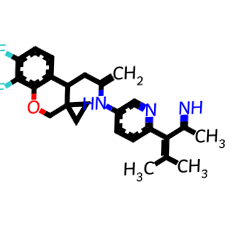 C=C(CC1c2ccc(F)c(F)c2OCC12CC2)Nc1ccc(C(C(C)=N)=C(C)C)nc1